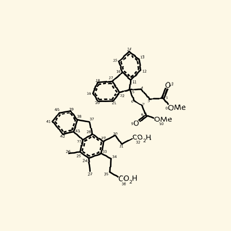 COC(=O)CCC1(CCC(=O)OC)c2ccccc2-c2ccccc21.Cc1c(C)c2c(c(CCC(=O)O)c1CCC(=O)O)Cc1ccccc1-2